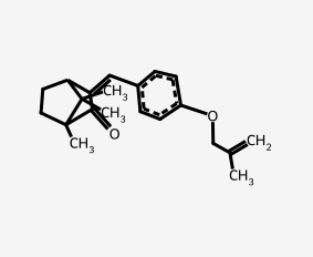 C=C(C)COc1ccc(/C=C2\C(=O)C3(C)CCC2C3(C)C)cc1